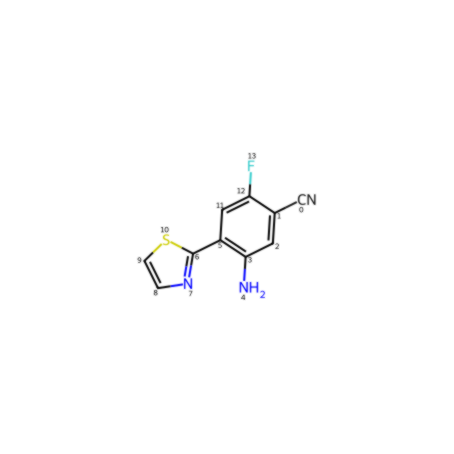 N#Cc1cc(N)c(-c2nccs2)cc1F